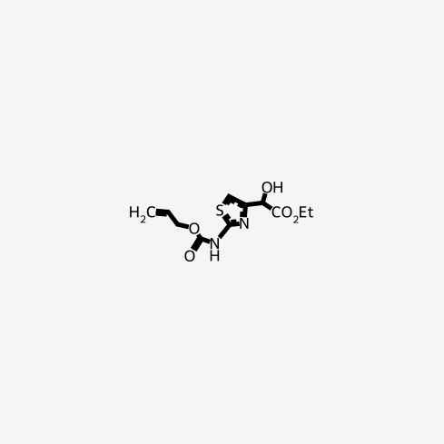 C=CCOC(=O)Nc1nc(C(O)C(=O)OCC)cs1